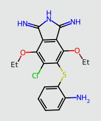 CCOc1c(Cl)c(Sc2ccccc2N)c(OCC)c2c1C(=N)NC2=N